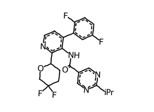 CC(C)c1ncc(C(=O)Nc2c(-c3cc(F)ccc3F)ccnc2C2CCC(F)(F)CO2)cn1